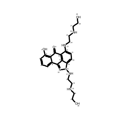 O=C1c2c(O)cccc2-c2nn(NCCNCCO)c3ccc(NCCNCCO)c1c23